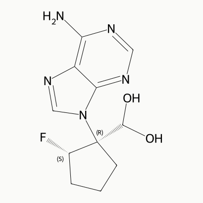 Nc1ncnc2c1ncn2[C@@]1(C(O)O)CCC[C@@H]1F